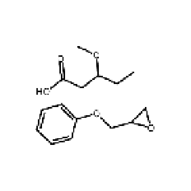 CCC(CC(=O)O)OC.c1ccc(OCC2CO2)cc1